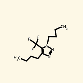 CCCCc1nnn(CCCC)c1C(F)(F)F